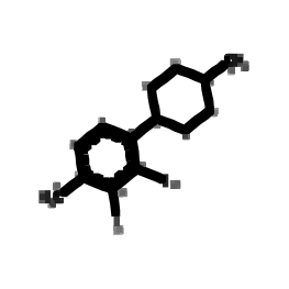 Cc1ccc(C2CCC(C)CC2)c(I)c1I